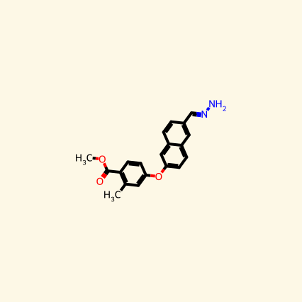 COC(=O)c1ccc(Oc2ccc3cc(C=NN)ccc3c2)cc1C